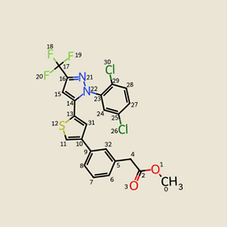 COC(=O)Cc1cccc(-c2csc(-c3cc(C(F)(F)F)nn3-c3cc(Cl)ccc3Cl)c2)c1